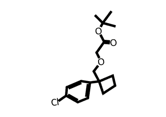 CC(C)(C)OC(=O)COCC1(c2ccc(Cl)cc2)CCC1